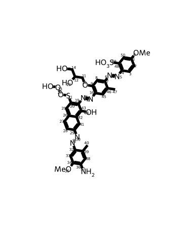 COc1ccc(N=Nc2cc(OCC(O)CO)c(N=Nc3c(SOOO)cc4ccc(N=Nc5cc(OC)c(N)cc5C)cc4c3O)cc2C)c(S(=O)(=O)O)c1